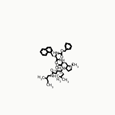 CCC(C)CNC(=O)C[C@H](O)[C@H](CC(C)C)NC(=O)[C@H](CC1CCCN1C)NC(=O)[C@H](Cc1cccc2ccccc12)NC(=O)OCc1ccccc1